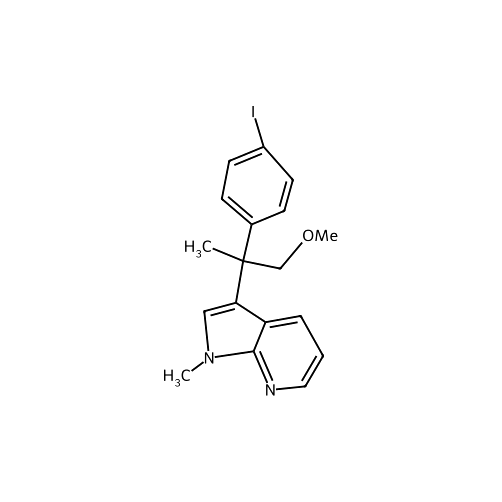 COCC(C)(c1ccc(I)cc1)c1cn(C)c2ncccc12